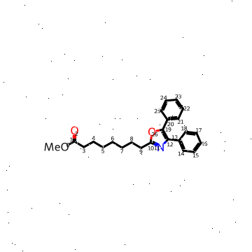 COC(=O)CCCCCCCc1nc(-c2ccccc2)c(-c2ccccc2)o1